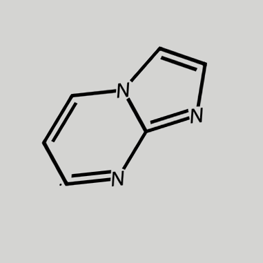 [c]1ccn2ccnc2n1